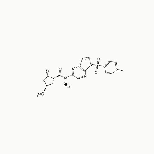 CC[C@@H]1C[C@H](O)C[C@@H]1C(=O)N(N)c1cnc2c(ccn2S(=O)(=O)c2ccc(C)cc2)n1